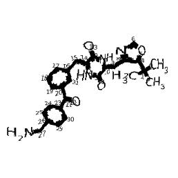 CC(C)(C)c1ocnc1/C=c1\[nH]c(=O)/c(=C/c2cccc(C(=O)c3ccc(CN)cc3)c2)[nH]c1=O